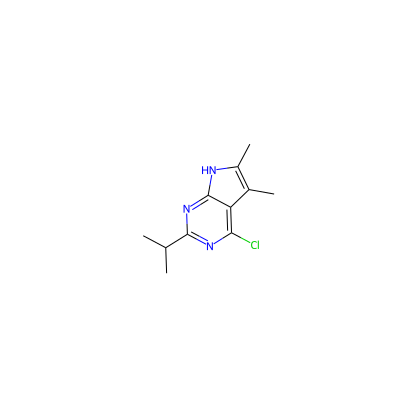 Cc1[nH]c2nc(C(C)C)nc(Cl)c2c1C